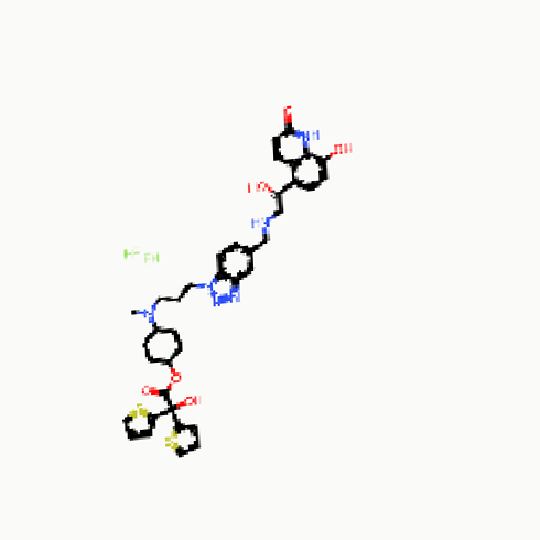 CN(CCCn1nnc2cc(CNC[C@@H](O)c3ccc(O)c4[nH]c(=O)ccc34)ccc21)C1CCC(OC(=O)C(O)(c2cccs2)c2cccs2)CC1.F.F